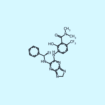 CC[C@@H](Nc1nc2c(nc1Nc1ccc(C(F)(F)F)c(C(=O)N(C)C)c1O)=NCN=2)c1ccccc1